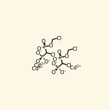 O=P([O-])([O-])C(Cl)P(=O)([O-])OCCl.O=P([O-])([O-])C(Cl)P(=O)([O-])OCCl.[Cd+2].[Cd+2].[Cd+2]